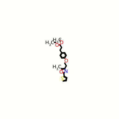 CCOC(CCc1ccc(OCCc2nc(-c3cccs3)oc2C)cc1)OC